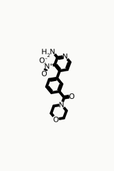 Nc1nccc(-c2cccc(C(=O)N3CCOCC3)c2)c1[N+](=O)[O-]